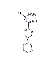 CN/C(Cl)=N\C(=N)c1ccc(-c2ccccc2)cc1